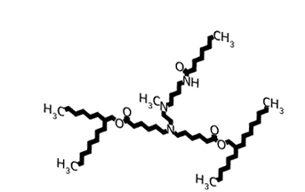 CCCCCCCCC(CCCCCC)COC(=O)CCCCCN(CCCCCC(=O)OCC(CCCCCC)CCCCCCCC)CCN(C)CCCCNC(=O)CCCCCCC